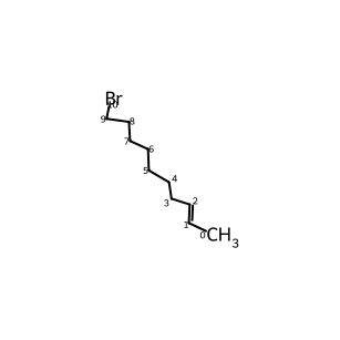 CC=CCCCCCCCBr